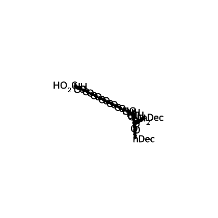 CCCCCCCCCCCCCCCC(=O)OCC[C@H](CSC[C@H](N)C(=O)N[C@@H](CO)C(=O)NCCOCCOCCOCCOCCOCCOCCOCCOCCOCCOCCOCCOCCC(=O)NCC(=O)O)OC(=O)CCCCCCCCCCCCCCC